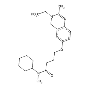 CN(C(=O)CCCOc1ccc2c(c1)CN(CC(=O)O)C(N)=N2)C1CCCCC1